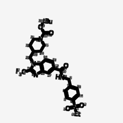 CCS(=O)(=O)c1ccc(CNC(=O)c2ccc3c(c2)nc(C(F)(F)F)n3CC2CCN(C(=O)OC(C)(C)C)CC2)cc1